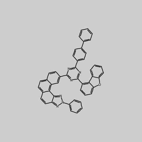 c1ccc(-c2ccc(-c3nc(-c4ccc5ccc6ccc7nn(-c8ccccc8)nc7c6c5c4)nc(-c4cccc5oc6ccccc6c45)n3)cc2)cc1